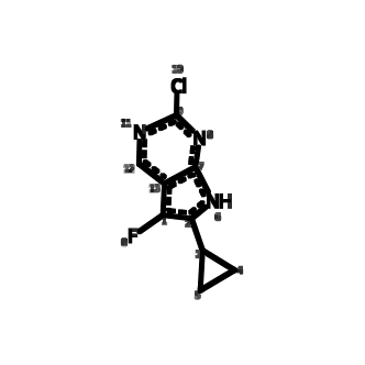 Fc1c(C2CC2)[nH]c2nc(Cl)ncc12